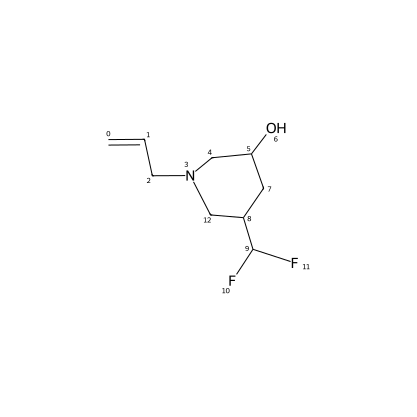 C=CCN1CC(O)CC(C(F)F)C1